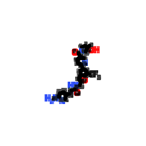 CC1(O)CCN(C(=O)c2ccc(-c3cc(C(F)(F)F)c4oc(CNC(=O)/C=C/c5ccc(N)nc5)cc4c3)nc2)C1